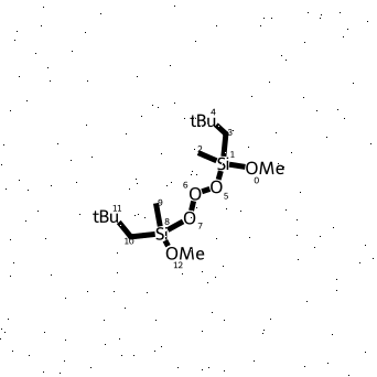 CO[Si](C)(CC(C)(C)C)OOO[Si](C)(CC(C)(C)C)OC